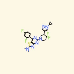 CN(C)c1nc2nc(N3CCC(F)(F)C(c4cnn(C5CC5)c4)C3)nc(-c3ccc(F)cc3F)c2s1